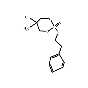 CC1(C)COP(=S)(SCCc2ccccc2)OC1